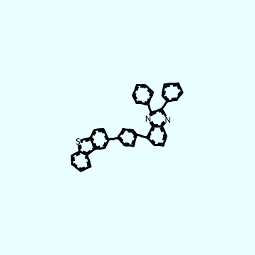 c1ccc(-c2nc3cccc(-c4ccc(-c5ccc6sc7ccccc7c6c5)cc4)c3nc2-c2ccccc2)cc1